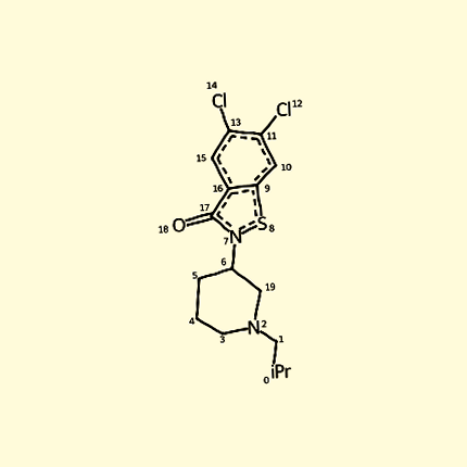 CC(C)CN1CCCC(n2sc3cc(Cl)c(Cl)cc3c2=O)C1